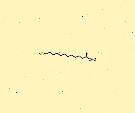 C=C(C=O)CCCCCCCCCCCCCCCCCC